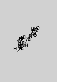 CN1CCN([C@@H]2CCCN(c3cnc(C(N)=O)c(Nc4ccc(C5CCC6(CC5)CC(N5Cc7ccc8c(C9CCC(=O)NC9=O)noc8c7C5)C6)cc4)n3)C2)C1=O